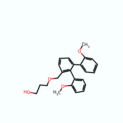 COc1ccccc1-c1cccc(COCCCO)c1-c1ccccc1OC